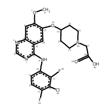 COc1cc2ncnc(Nc3ccc(F)c(Cl)c3F)c2cc1OC1CCN(CC(=O)O)CC1